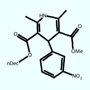 CCCCCCCCCCOC(=O)C1=C(C)NC(C)=C(C(=O)OC)C1c1cccc([N+](=O)[O-])c1